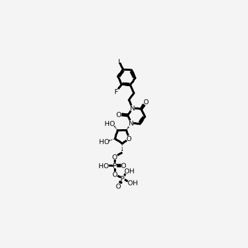 O=c1ccn([C@@H]2O[C@H](COP(=O)(O)OP(=O)(O)O)[C@H](O)[C@@H]2O)c(=O)n1CCc1ccc(I)cc1F